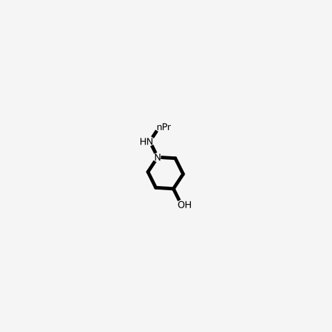 CCCNN1CCC(O)CC1